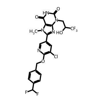 Cn1c(-c2cnc(OCc3ccc(C(F)F)cc3)c(Cl)c2)nc2c1c(=O)[nH]c(=O)n2CC(O)C(F)(F)F